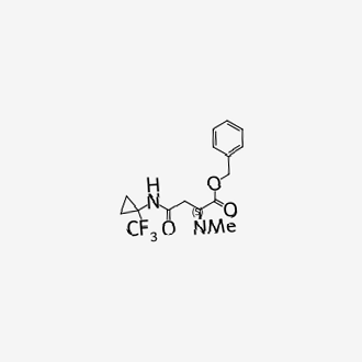 CN[C@@H](CC(=O)NC1(C(F)(F)F)CC1)C(=O)OCc1ccccc1